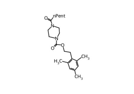 [CH2]CCCCC(=O)N1CCN(C(=O)OCCc2c(C)cc(C)cc2C)CC1